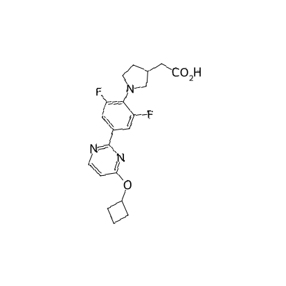 O=C(O)CC1CCN(c2c(F)cc(-c3nccc(OC4CCC4)n3)cc2F)C1